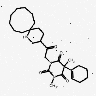 CN1C(=O)N(CC(=O)C2CCC3(CCCCCCCC3)NC2)C(=O)C(C)(C2=CCCCC2)C1=O